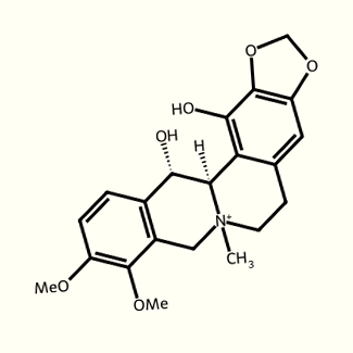 COc1ccc2c(c1OC)C[N+]1(C)CCc3cc4c(c(O)c3[C@@H]1[C@H]2O)OCO4